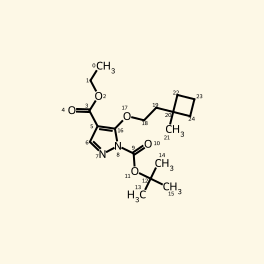 CCOC(=O)c1cnn(C(=O)OC(C)(C)C)c1OCCC1(C)CCC1